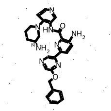 Nc1ccc(-c2cncc(OCc3ccccc3)n2)nc1C(=O)Nc1cnccc1N1CCC[C@H](N)C1